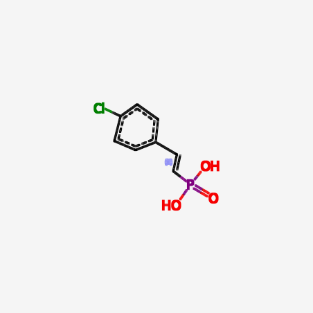 O=P(O)(O)/C=C/c1ccc(Cl)cc1